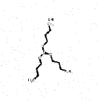 CCCC[O][Al]([O]CCCC)[O]CCCC.[LiH]